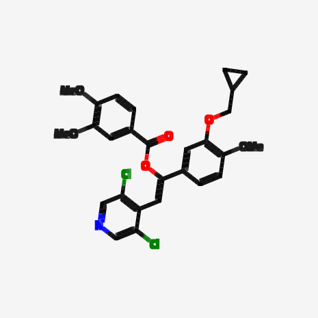 COc1ccc(C(=O)O/C(=C\c2c(Cl)cncc2Cl)c2ccc(OC)c(OCC3CC3)c2)cc1OC